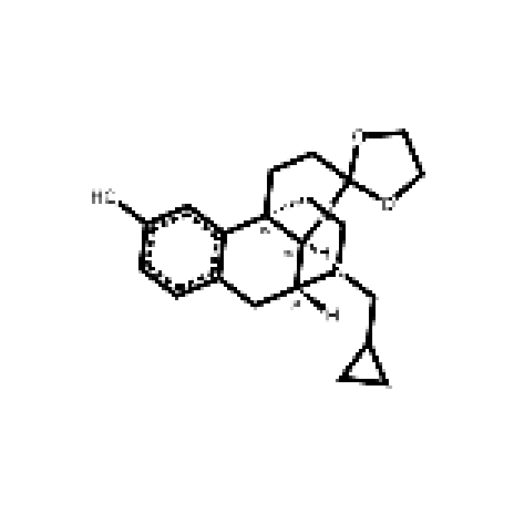 Oc1ccc2c(c1)[C@]13CCN(CC4CC4)[C@H](C2)[C@@H]1CC1(CC3)OCCO1